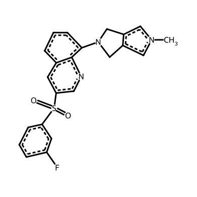 Cn1cc2c(c1)CN(c1cccc3cc(S(=O)(=O)c4cccc(F)c4)cnc13)C2